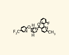 Cc1ccc(C(=O)N2C[C@H]3C[C@@H](Oc4ccc(C(F)(F)F)cn4)[C@@H]2C3)c(-c2ncccc2F)n1